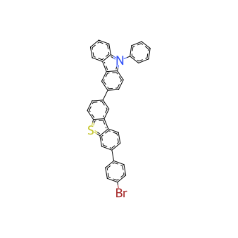 Brc1ccc(-c2ccc3c(c2)sc2ccc(-c4ccc5c(c4)c4ccccc4n5-c4ccccc4)cc23)cc1